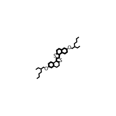 CCCCC(CC)COc1ccc2c(c1)CCc1sc3c(sc4ccc5cc(OCC(CC)CCCC)ccc5c43)c1-2